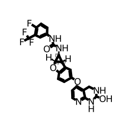 O=C(Nc1ccc(F)c(C(F)(F)F)c1)N[C@@H]1[C@H]2Oc3ccc(Oc4ccnc5c4CNC(O)N5)cc3[C@@H]12